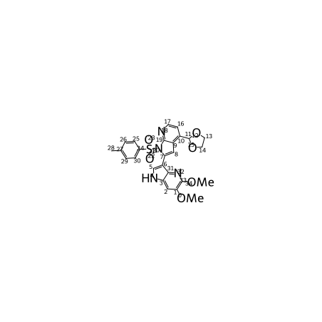 COc1cc2[nH]cc(-c3cc4c(C5OCCO5)ccnc4n3S(=O)(=O)c3ccc(C)cc3)c2nc1OC